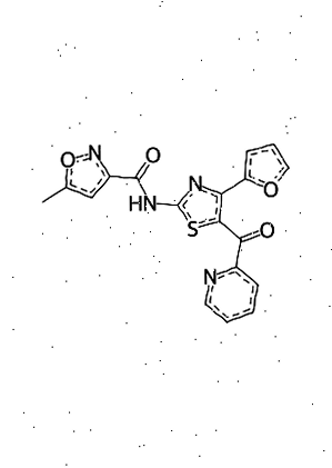 Cc1cc(C(=O)Nc2nc(-c3ccco3)c(C(=O)c3ccccn3)s2)no1